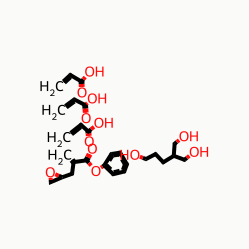 C=C(CC1CO1)C(=O)Oc1ccccc1.C=CC(=O)O.C=CC(=O)O.C=CC(=O)O.OCCCC(CO)CO